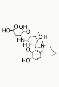 CO[C@@]12CC[C@H](N[C@@H](CC(=O)O)C(=O)O)[C@@H]3Oc4c(O)ccc5c4[C@@]31CCN(CC1CC1)[C@@H]2C5